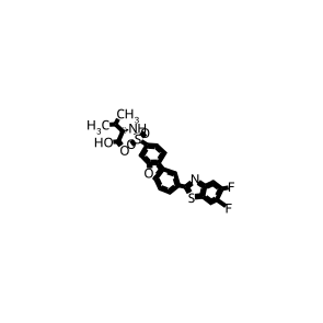 CC(C)[C@H](NS(=O)(=O)c1ccc2c(c1)oc1ccc(-c3nc4cc(F)c(F)cc4s3)cc12)C(=O)O